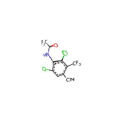 N#Cc1cc(Cl)c(NC(=O)C(F)(F)F)c(Cl)c1C(F)(F)F